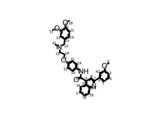 COc1cccc(-c2cc(C(=O)Nc3ccc(OCCN(C)Cc4ccc(OC)c(OC)c4)cc3)c3ccccc3n2)c1